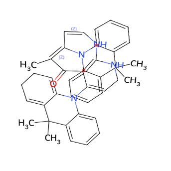 C/C1=C(N2c3ccccc3C(C)(C)c3ccccc32)\C=C/NC2=C(C1=O)C(N1C3=CCCC=C3C(C)(C)c3ccccc31)=CCN2